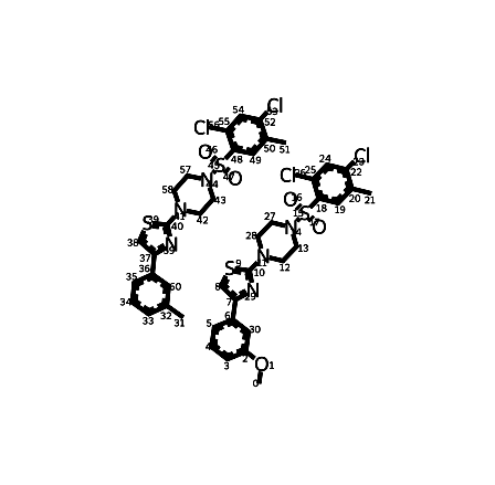 COc1cccc(-c2csc(N3CCN(S(=O)(=O)c4cc(C)c(Cl)cc4Cl)CC3)n2)c1.Cc1cccc(-c2csc(N3CCN(S(=O)(=O)c4cc(C)c(Cl)cc4Cl)CC3)n2)c1